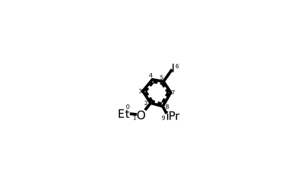 CCOc1ccc(I)cc1C(C)C